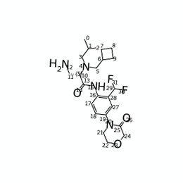 CC(C)CN(CC1CCC1)[C@@H](CN)C(=O)Nc1ccc(N2CCOCC2=O)cc1C(F)F